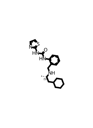 C[C@@H](CC1CCCCC1)NCc1ccccc1NC(=O)Nc1nccs1